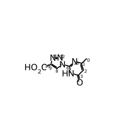 Cc1cc(=O)[nH]c(-n2cc(C(=O)O)nn2)n1